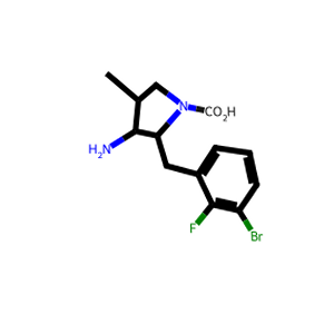 CC1CN(C(=O)O)C(Cc2cccc(Br)c2F)C1N